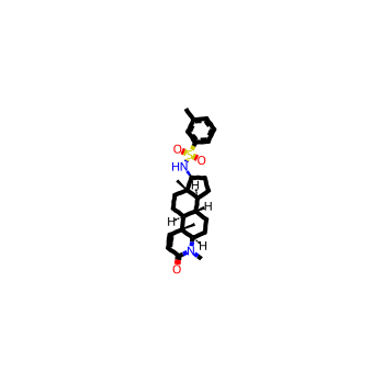 Cc1cccc(S(=O)(=O)N[C@H]2CC[C@H]3[C@@H]4CC[C@H]5N(C)C(=O)C=C[C@]5(C)[C@H]4CC[C@]23C)c1